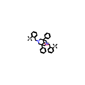 CCCCC1(O)C2(c3ccccc3)CN(Cc3cccc[c]3[Sn]([CH3])([CH3])[CH3])CC1(c1ccccc1)CN(Cc1cccc[c]1[Sn]([CH3])([CH3])[CH3])C2